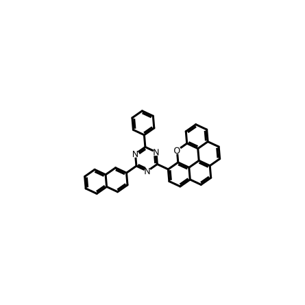 c1ccc(-c2nc(-c3ccc4ccccc4c3)nc(-c3ccc4ccc5ccc6cccc7c6c5c4c3O7)n2)cc1